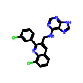 Clc1cccc(-c2nc3c(Cl)cccc3cc2CNc2ncnc3[nH]cnc23)c1